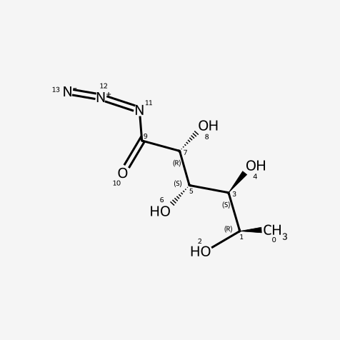 C[C@@H](O)[C@H](O)[C@H](O)[C@@H](O)C(=O)N=[N+]=[N-]